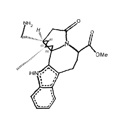 COC(=O)C1Cc2c([nH]c3ccccc23)C23C[C@H](C)[C@@H](CN)[C@@H]2CC(=O)N13